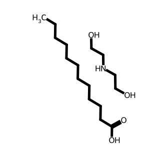 CCCCCCCCCCCC(=O)O.OCCNCCO